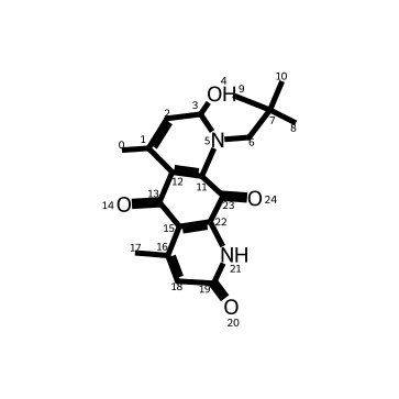 CC1=CC(O)N(CC(C)(C)C)C2=C1C(=O)c1c(C)cc(=O)[nH]c1C2=O